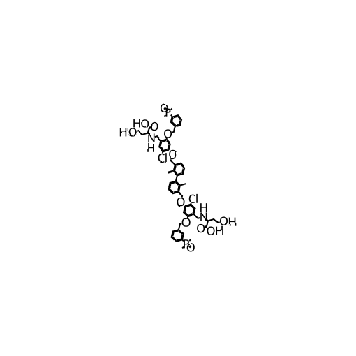 Cc1c(COc2cc(OCc3cccc(P(C)(C)=O)c3)c(CNC(CCO)C(=O)O)cc2Cl)cccc1-c1cccc(COc2cc(OCc3cccc(P(C)(C)=O)c3)c(CNC(CCO)C(=O)O)cc2Cl)c1C